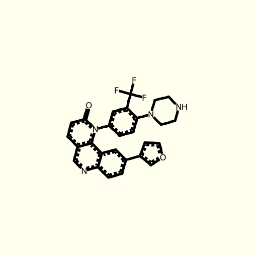 O=c1ccc2cnc3ccc(-c4ccoc4)cc3c2n1-c1ccc(N2CCNCC2)c(C(F)(F)F)c1